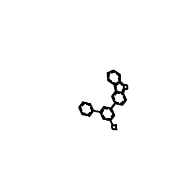 Clc1cc(-c2ccccc2)cc(-c2ccc3oc4ccccc4c3c2)c1